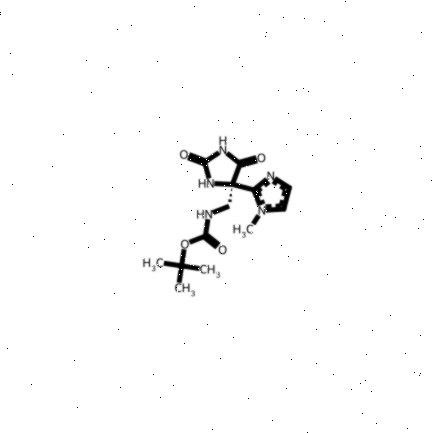 Cn1ccnc1[C@@]1(CNC(=O)OC(C)(C)C)NC(=O)NC1=O